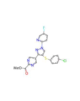 COC(=O)c1ncc(-c2nn(-c3ccc(F)cn3)cc2Sc2ccc(Cl)cc2)cn1